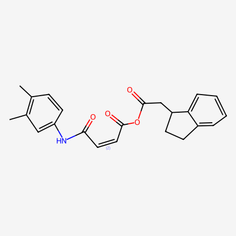 Cc1ccc(NC(=O)/C=C\C(=O)OC(=O)CC2CCc3ccccc32)cc1C